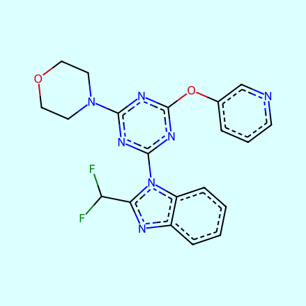 FC(F)c1nc2ccccc2n1-c1nc(Oc2cccnc2)nc(N2CCOCC2)n1